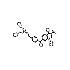 CCn1cc(C(C)=O)c(=O)c2ccc(C(=O)c3ccc(CCN(CCCl)CCCl)cc3)cc21